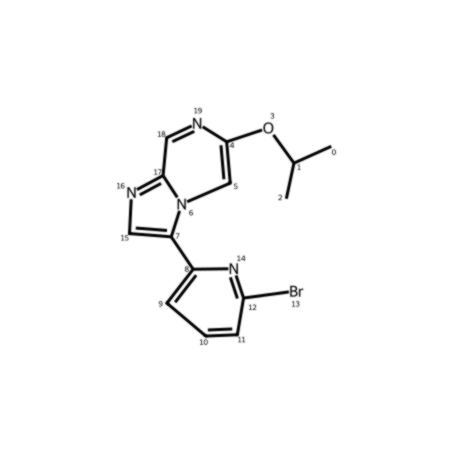 CC(C)Oc1cn2c(-c3cccc(Br)n3)cnc2cn1